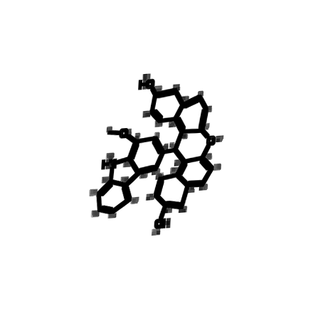 COc1cc(C2c3c(ccc4cc(O)ccc34)Oc3ccc4cc(O)ccc4c32)cc2c1[nH]c1ccccc12